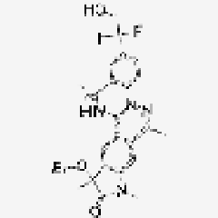 CCOC1(C)C(=O)N(C)c2cc3c(C)nnc(N[C@H](C)c4cccc(C(F)(F)CO)c4)c3cc21